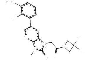 Cn1c(=O)n(CC(=O)N2CC(F)(F)C2)c2cc(-c3cccc(C(F)(F)F)c3F)cnc21